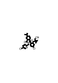 C=C(C)c1ccc2c(c1)C(=O)N(Cc1ccc(Cl)cn1)C2(OCC1(CC#N)CC1)c1ccc(Cl)cc1